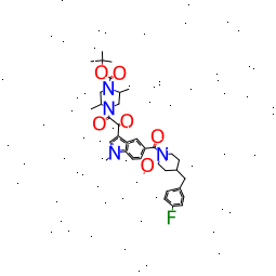 COc1cc2c(cc1C(=O)N1CCC(Cc3ccc(F)cc3)CC1)c(C(=O)C(=O)N1CC(C)N(C(=O)OC(C)(C)C)CC1C)cn2C